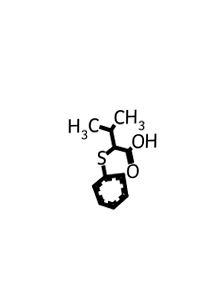 CC(C)C(Sc1ccccc1)C(=O)O